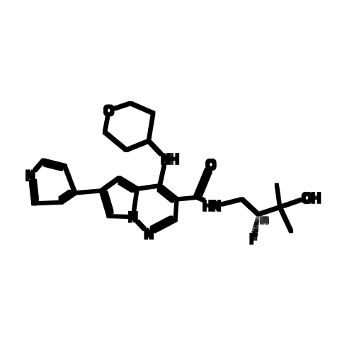 CC(C)(O)[C@H](F)CNC(=O)c1cnn2cc(-c3ccncc3)cc2c1NC1CCOCC1